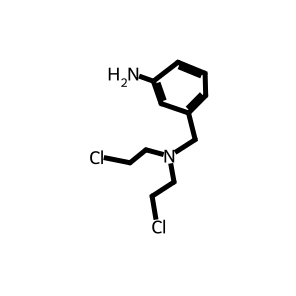 Nc1cccc(CN(CCCl)CCCl)c1